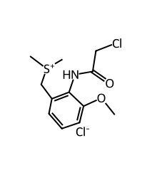 COc1cccc(C[S+](C)C)c1NC(=O)CCl.[Cl-]